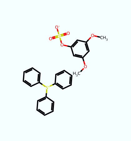 COc1cc(OC)cc(OS(=O)(=O)[O-])c1.c1ccc([S+](c2ccccc2)c2ccccc2)cc1